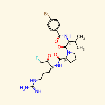 CC(C)[C@H](NC(=O)c1ccc(Br)cc1)C(=O)N1CCC[C@H]1C(=O)N[C@@H](CCCNC(=N)N)C(=O)CF